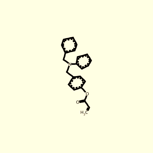 C=CC(=O)Oc1ccc(CN(Cc2ccccc2)c2ccccc2)cc1